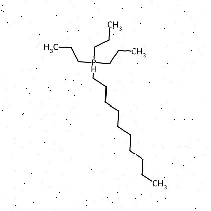 CCCCCCCCCC[PH](CCC)(CCC)CCC